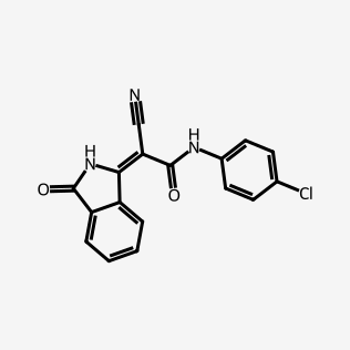 N#CC(C(=O)Nc1ccc(Cl)cc1)=C1NC(=O)c2ccccc21